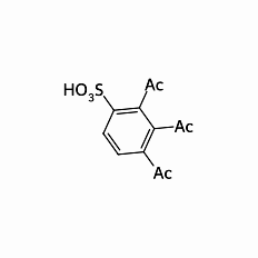 CC(=O)c1ccc(S(=O)(=O)O)c(C(C)=O)c1C(C)=O